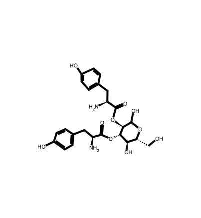 N[C@@H](Cc1ccc(O)cc1)C(=O)O[C@H]1[C@H](O)[C@@H](CO)OC(O)[C@@H]1OC(=O)[C@@H](N)Cc1ccc(O)cc1